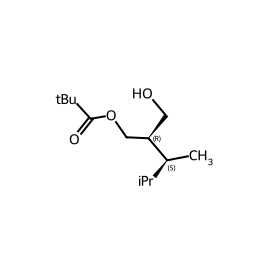 CC(C)[C@H](C)[C@H](CO)COC(=O)C(C)(C)C